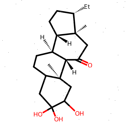 CC[C@H]1CC[C@H]2[C@@H]3CCC4CC(O)(O)C(O)C[C@]4(C)[C@H]3C(=O)C[C@]12C